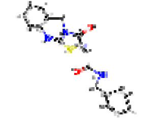 O=C(/C=c1\sc2n(c1=O)Cc1ccccc1N=2)NCc1ccccc1